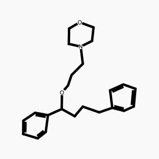 c1ccc(CCCC(OCCCN2CCOCC2)c2ccccc2)cc1